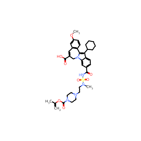 C=C(C)OC(=O)N1CCN(CCN(C)S(=O)(=O)NC(=O)c2ccc3c(C4CCCCC4)c4n(c3c2)CC(C(=O)O)=Cc2cc(OC)ccc2-4)CC1